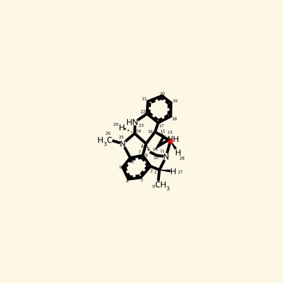 C[C@@H]1c2cccc3c2[C@]24CCN1[C@H]1NCC[C@]12c1ccccc1N[C@@H]4N3C